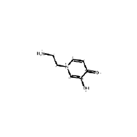 NCCn1ccc(=O)c(O)c1